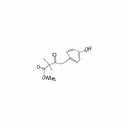 COC(=O)C(C)(C)C(=O)Cc1ccc(O)cc1